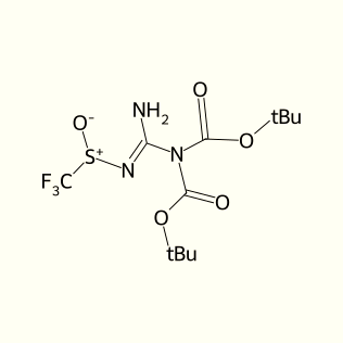 CC(C)(C)OC(=O)N(C(=O)OC(C)(C)C)C(N)=N[S+]([O-])C(F)(F)F